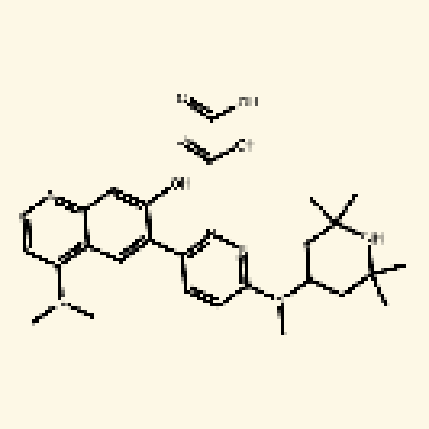 CN(C)c1ccnc2cc(O)c(-c3ccc(N(C)C4CC(C)(C)NC(C)(C)C4)nn3)cc12.O=CO.O=CO